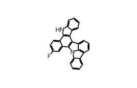 Fc1ccc2c(c1)c1c(c3cccc4c5ccccc5n1c43)c1c3ccccc3[nH]c21